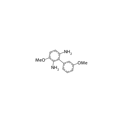 COc1cccc(-c2c(N)ccc(OC)c2N)c1